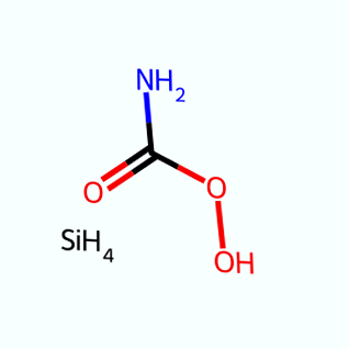 NC(=O)OO.[SiH4]